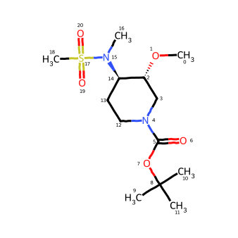 CO[C@@H]1CN(C(=O)OC(C)(C)C)CC[C@H]1N(C)S(C)(=O)=O